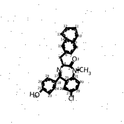 CN1C(=O)C(Cc2ccc3ccccc3c2)N=C(c2ccc(O)cc2)c2cc(Cl)ccc21